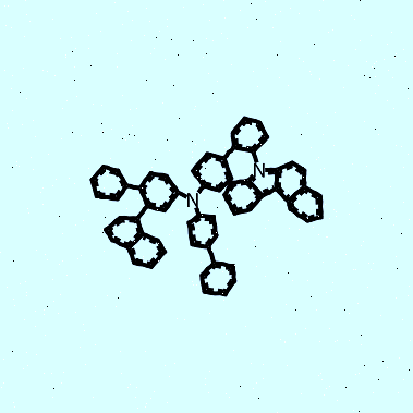 c1ccc(-c2ccc(N(c3ccc(-c4ccccc4-n4c5ccccc5c5c6ccccc6ccc54)cc3)c3ccc(-c4ccccc4)c(-c4cccc5ccccc45)c3)cc2)cc1